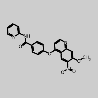 COc1cc2nccc(Oc3ccc(C(=O)Nc4ccccn4)cc3)c2cc1[N+](=O)[O-]